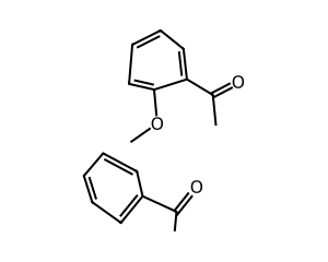 CC(=O)c1ccccc1.COc1ccccc1C(C)=O